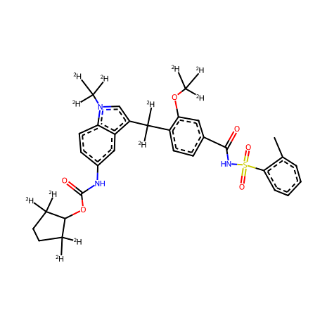 [2H]C([2H])([2H])Oc1cc(C(=O)NS(=O)(=O)c2ccccc2C)ccc1C([2H])([2H])c1cn(C([2H])([2H])[2H])c2ccc(NC(=O)OC3C([2H])([2H])CCC3([2H])[2H])cc12